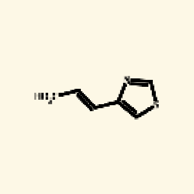 O=C(O)/C=C/c1cscn1